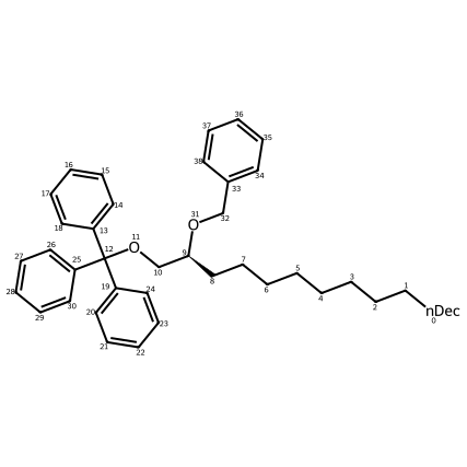 CCCCCCCCCCCCCCCCCC[C@@H](COC(c1ccccc1)(c1ccccc1)c1ccccc1)OCc1ccccc1